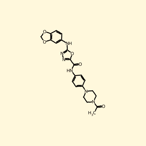 CC(=O)N1CCN(c2ccc(NC(=O)c3nnc(Nc4ccc5c(c4)OCO5)o3)cc2)CC1